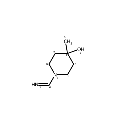 CC1(O)CCN(C=N)CC1